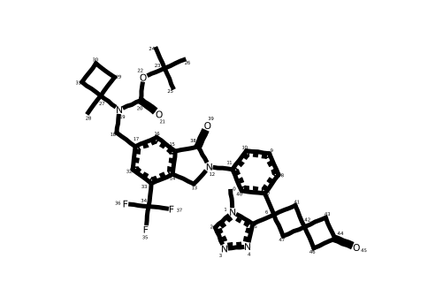 Cn1cnnc1C1(c2cccc(N3Cc4c(cc(CN(C(=O)OC(C)(C)C)C5(C)CCC5)cc4C(F)(F)F)C3=O)c2)CC2(CC(=O)C2)C1